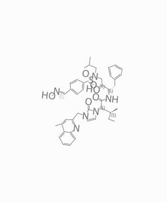 CC[C@H](C)[C@@H](C(=O)N[C@@H](Cc1ccccc1)[C@H](O)CN(CC(C)C)S(=O)(=O)c1ccc(/C=N/O)cc1)n1ccn(Cc2cc(C)c3ccccc3n2)c1=O